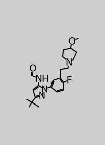 COC1CCN(CCc2cc(-n3nc(C(C)(C)C)cc3NC=O)ccc2F)CC1